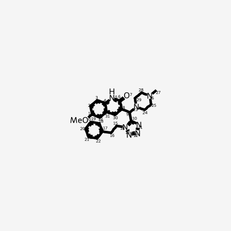 COc1ccc2[nH]c(=O)c(C(c3nnnn3CCc3ccccc3)N3CCN(C)CC3)cc2c1